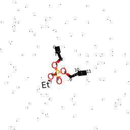 C#CCOP(=O)(OCC)OCC#C